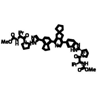 COC(=O)N[C@H](C(=O)N1CCC[C@H]1c1ncc(-c2ccc(-c3ncc(-c4ccc5nc([C@@H]6CCCN6C(=O)[C@@H](NC(=O)OC)C(C)C)[nH]c5c4)c4c3CC3(CCCC3)C4)c3c2CCC3)[nH]1)C(C)C